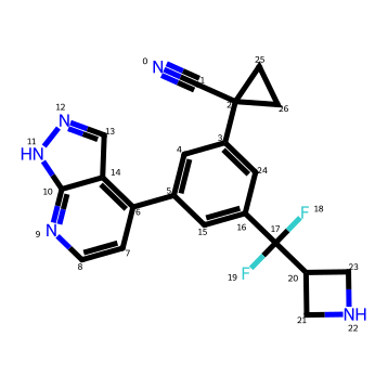 N#CC1(c2cc(-c3ccnc4[nH]ncc34)cc(C(F)(F)C3CNC3)c2)CC1